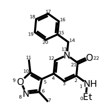 CCNc1cc(-c2c(C)noc2C)cn(Cc2ccccc2)c1=O